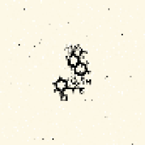 O=S(=O)(Cc1ccccc1Cl)NC1CCc2c(cnc3[nH]ncc23)C1